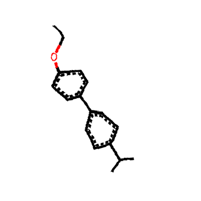 CCOc1ccc(-c2ccc(C(C)C)cc2)cc1